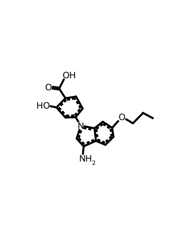 CCCOc1ccc2c(N)cn(-c3ccc(C(=O)O)c(O)c3)c2c1